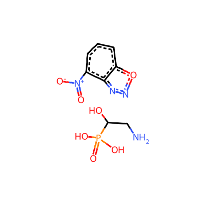 NCC(O)P(=O)(O)O.O=[N+]([O-])c1cccc2onnc12